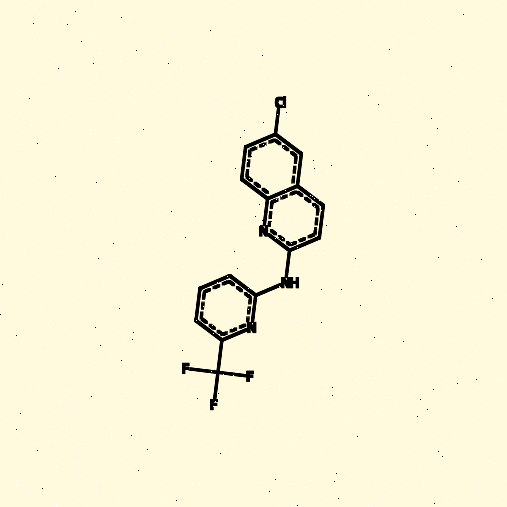 FC(F)(F)c1cccc(Nc2ccc3cc(Cl)ccc3n2)n1